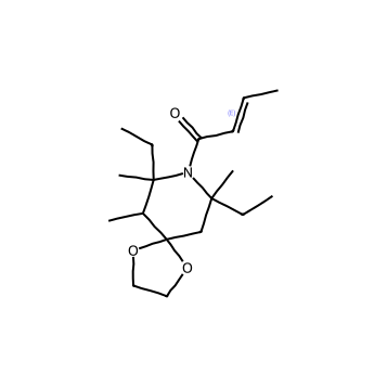 C/C=C/C(=O)N1C(C)(CC)CC2(OCCO2)C(C)C1(C)CC